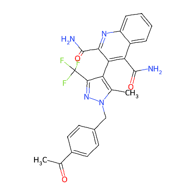 CC(=O)c1ccc(Cn2nc(C(F)(F)F)c(-c3c(C(N)=O)nc4ccccc4c3C(N)=O)c2C)cc1